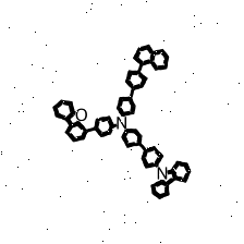 c1ccc2c(-c3ccc(-c4ccc(N(c5ccc(-c6ccc(-n7c8ccccc8c8ccccc87)cc6)cc5)c5ccc(-c6cccc7c6oc6ccccc67)cc5)cc4)cc3)cccc2c1